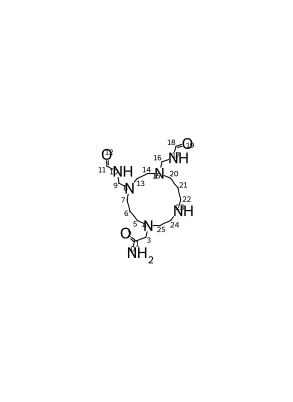 NC(=O)CN1CCCN(CNC=O)CCN(CNC=O)CCCNCC1